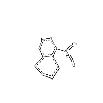 O=[SH](=O)c1nncc2ccccc12